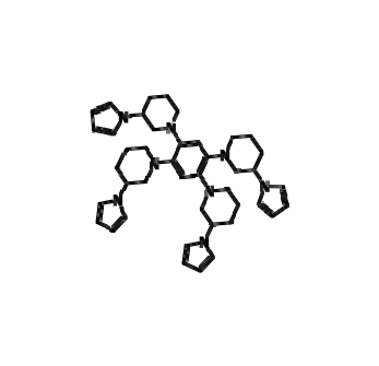 c1ccn(C2CCCN(c3cc(N4CCCC(n5cccc5)C4)c(N4CCCC(n5cccc5)C4)cc3N3CCCC(n4cccc4)C3)C2)c1